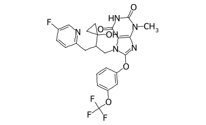 Cn1c(=O)[nH]c(=O)c2c1nc(Oc1cccc(OC(F)(F)F)c1)n2CC(Cc1ccc(F)cn1)C1(O)CC1